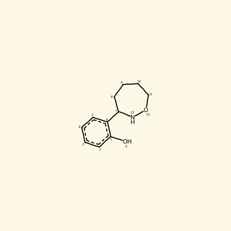 Oc1ccccc1C1CCCCON1